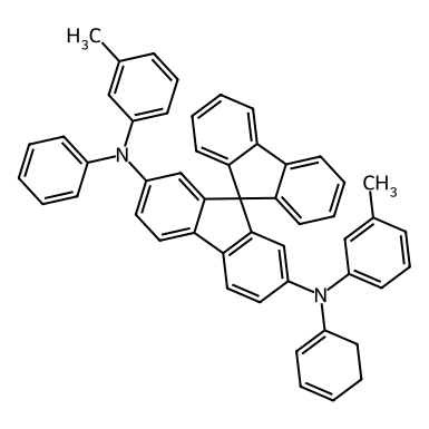 Cc1cccc(N(C2=CC=CCC2)c2ccc3c(c2)C2(c4ccccc4-c4ccccc42)c2cc(N(c4ccccc4)c4cccc(C)c4)ccc2-3)c1